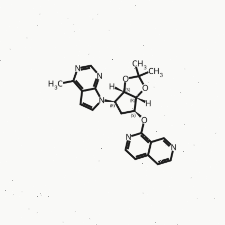 Cc1ncnc2c1ccn2[C@@H]1C[C@H](Oc2nccc3ccncc23)[C@H]2OC(C)(C)O[C@H]21